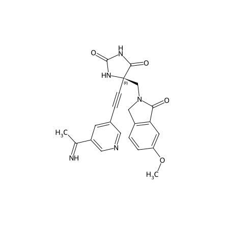 COc1ccc2c(c1)C(=O)N(C[C@@]1(C#Cc3cncc(C(C)=N)c3)NC(=O)NC1=O)C2